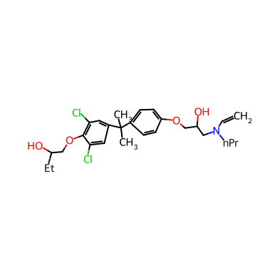 C=CN(CCC)CC(O)COc1ccc(C(C)(C)c2cc(Cl)c(OCC(O)CC)c(Cl)c2)cc1